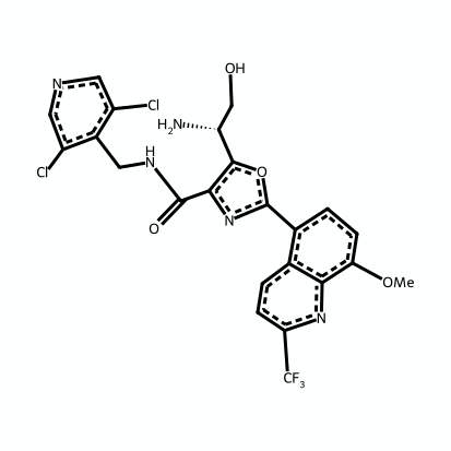 COc1ccc(-c2nc(C(=O)NCc3c(Cl)cncc3Cl)c([C@H](N)CO)o2)c2ccc(C(F)(F)F)nc12